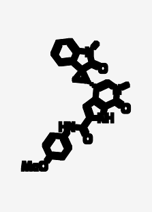 COc1ccc(NC(=O)c2cc3c([C@@H]4C[C@@]45C(=O)N(C)c4ccccc45)cn(C)c(=O)c3[nH]2)cc1